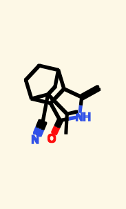 C=C1NC(=O)C2C1C1CCC2C(C#N)(C(C)C)C1